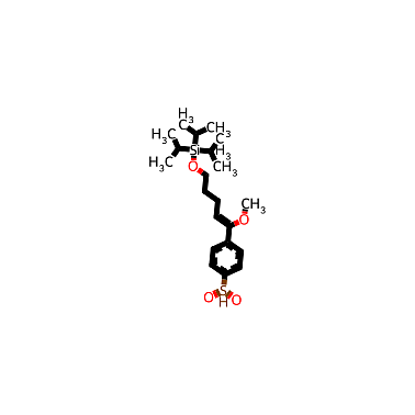 CO/C(=C\CCCO[Si](C(C)C)(C(C)C)C(C)C)c1ccc([SH](=O)=O)cc1